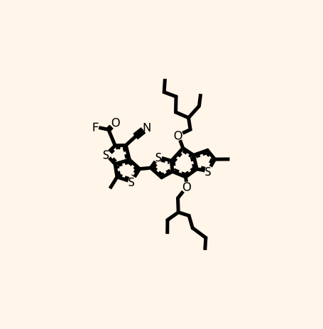 CCCCC(CC)COc1c2cc(-c3sc(C)c4sc(C(=O)F)c(C#N)c34)sc2c(OCC(CC)CCCC)c2cc(C)sc12